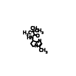 Cc1cnc2n1CCC2NC(=O)C(C)(C)C